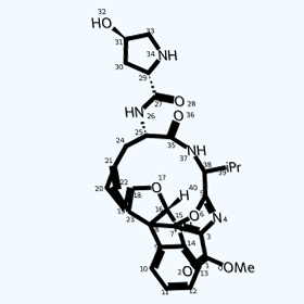 COC(=O)c1nc2oc1C13c4ccccc4N[C@H]1Oc1ccc(cc13)C[C@H](NC(=O)[C@@H]1C[C@@H](O)CN1)C(=O)NC2C(C)C